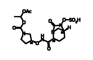 CC(=O)OC(C)OC(=O)N1CC[C@H](ONC(=O)[C@@H]2CC[C@@H]3CN2C(=O)N3OS(=O)(=O)O)C1